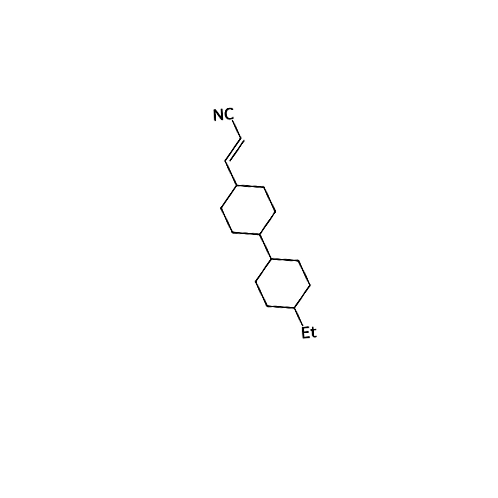 CCC1CCC(C2CCC(C=CC#N)CC2)CC1